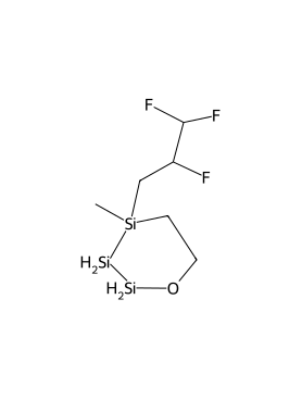 C[Si]1(CC(F)C(F)F)CCO[SiH2][SiH2]1